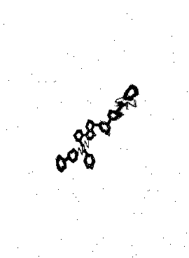 c1ccc(C2=NC(c3ccccc3-c3cccc4c(-c5cccc(-c6ccc(-c7nc8ccccc8s7)cc6)c5)cccc34)N2c2ccc(-c3ccccc3)cc2)cc1